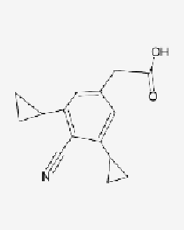 N#Cc1c(C2CC2)cc(CC(=O)O)cc1C1CC1